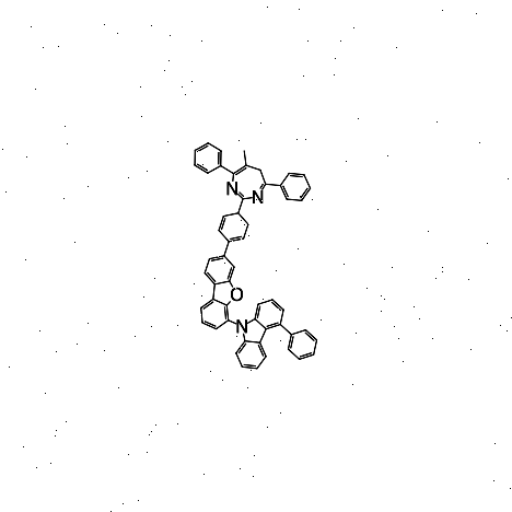 CC1=C(c2ccccc2)N=C(C2C=CC(c3ccc4c(c3)oc3c(-n5c6ccccc6c6c(-c7ccccc7)cccc65)cccc34)=CC2)N=C(c2ccccc2)C1